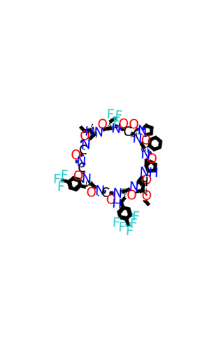 CCO[C@@H]1C[C@H]2C(=O)NC3(CCCC3)C(=O)N(C)[C@@H](C3CCCCC3)C(=O)N(C)[C@H](C(=O)N3CCCC3)CC(=O)N(C)[C@@H](CC(F)(F)F)C(=O)N[C@@H]([C@@H](C)CC)C(=O)N(C)CC(=O)N(C)CC(=O)N(C)[C@@H](Cc3ccc(C(F)(F)F)cc3)C(=O)N(C)CC(=O)N[C@@H](CCc3cc(F)c(C(F)(F)F)c(F)c3)C(=O)N2C1